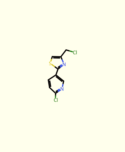 ClCc1csc(-c2ccc(Cl)nc2)n1